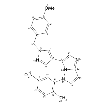 COc1ccc(Cn2cc(-c3cnc4ccn(-c5cc([N+](=O)[O-])ccc5C)n34)cn2)cc1